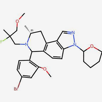 COCC(C)(F)CN1C(c2ccc(Br)cc2OC)c2ccc3c(cnn3C3CCCCO3)c2C[C@H]1C